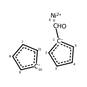 O=C[c-]1cccc1.[Ni+2].c1cc[cH-]c1